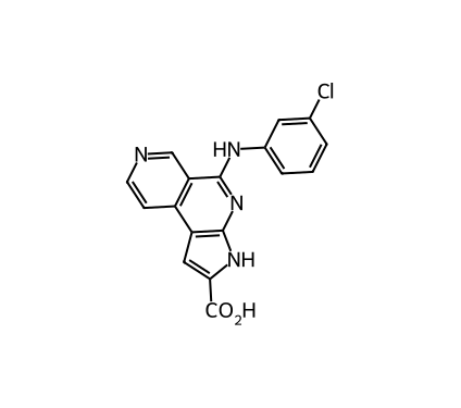 O=C(O)c1cc2c(nc(Nc3cccc(Cl)c3)c3cnccc32)[nH]1